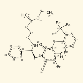 C=C(CCCN[C@@H](Cn1c(=O)c(Br)c(C)n(Cc2c(F)cccc2C(F)(F)F)c1=O)c1ccccc1)OCC